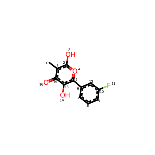 Cc1c(O)oc(-c2cccc(F)c2)c(O)c1=O